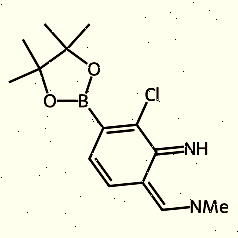 CN/C=C1/C=CC(B2OC(C)(C)C(C)(C)O2)=C(Cl)C1=N